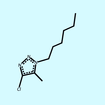 CCCCCCn1nnc(Cl)c1C